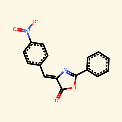 O=C1OC(c2ccccc2)=NC1=Cc1ccc([N+](=O)[O-])cc1